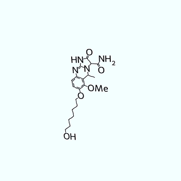 COc1c(OCCCCCCCO)ccc2c1C(C)N1C(=N2)NC(=O)C1C(N)=O